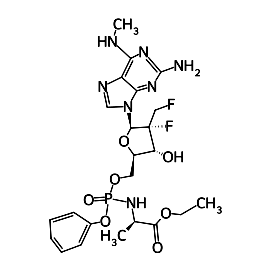 CCOC(=O)[C@@H](C)NP(=O)(OC[C@H]1O[C@@H](n2cnc3c(NC)nc(N)nc32)[C@@](F)(CF)[C@@H]1O)Oc1ccccc1